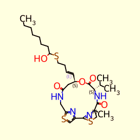 CCCCCCCC(O)SCC/C=C/[C@@H]1CC(=O)NCc2nc(cs2)C2=N[C@@](C)(CS2)C(=O)N[C@@H](C(C)C)C(=O)O1